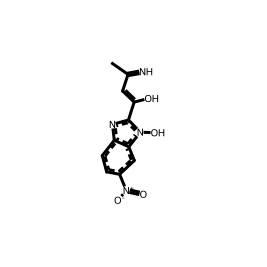 CC(=N)/C=C(\O)c1nc2ccc([N+](=O)[O-])cc2n1O